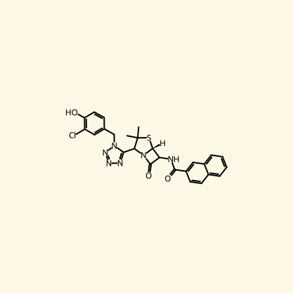 CC1(C)S[C@@H]2C(NC(=O)c3ccc4ccccc4c3)C(=O)N2C1c1nnnn1Cc1ccc(O)c(Cl)c1